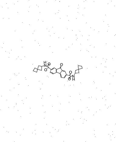 O=C1c2cc(S(=O)(=O)NC3CC4(CCC4)C3)ccc2-c2ccc(S(=O)(=O)NC3CC4(CCC4)C3)cc21